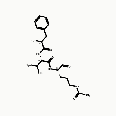 CC(C)[C@H](NC(=O)[C@@H](N)Cc1ccccc1)C(=O)N[C@H](C=O)CCCNC(N)=O